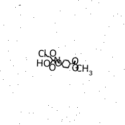 COC(=O)[C@H]1CC[C@H](O/N=C(\C(=O)O)C(=O)CCl)CC1